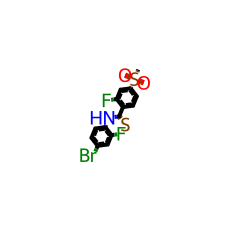 CS(=O)(=O)c1ccc(C(=S)Nc2ccc(Br)cc2F)c(F)c1